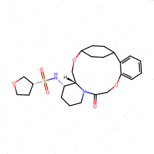 O=C1COc2ccccc2C2CCC(CC2)OC[C@H]2[C@@H](NS(=O)(=O)[C@@H]3CCOC3)CCCN12